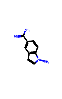 N=C(N)c1ccc2c(ccn2N)c1